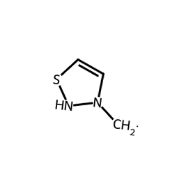 [CH2]N1C=CSN1